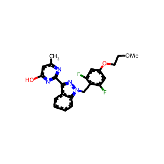 COCCOc1cc(F)c(Cn2nc(-c3nc(C)cc(O)n3)c3ccccc32)c(F)c1